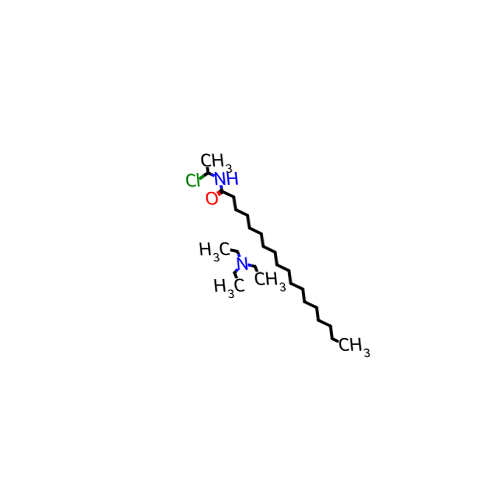 CCCCCCCCCCCCCCCCCC(=O)NC(C)Cl.CCN(CC)CC